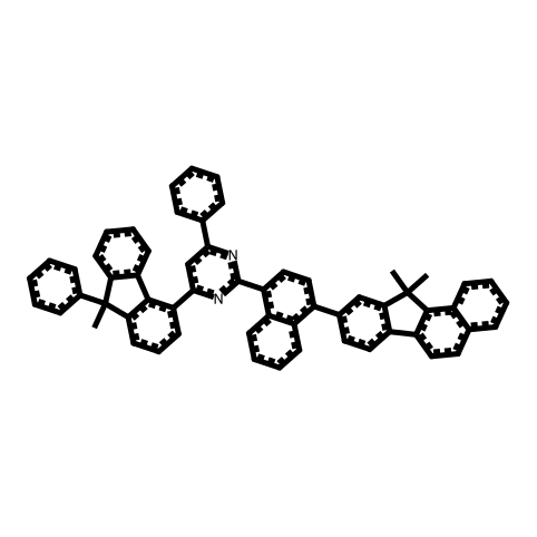 CC1(C)c2cc(-c3ccc(-c4nc(-c5ccccc5)cc(-c5cccc6c5-c5ccccc5C6(C)c5ccccc5)n4)c4ccccc34)ccc2-c2ccc3ccccc3c21